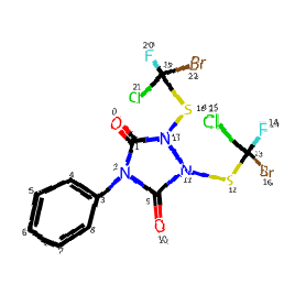 O=c1n(-c2ccccc2)c(=O)n(SC(F)(Cl)Br)n1SC(F)(Cl)Br